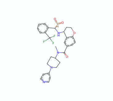 CN(C(=O)c1ccc2c(c1)C(NC(c1ccccc1C(F)(F)F)[SH](=O)=O)CCO2)C1CCN(c2ccncc2)CC1